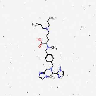 CCCN(CCC)CCC[C@H](C(=O)O)N(C)Cc1ccc(CN(Cc2ncc[nH]2)C(C)c2ncc[nH]2)cc1